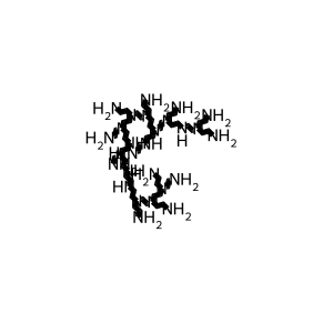 NCCNCCN(CCN(CCN)CCNCCN(CCN)CCN)CCN(CCN)CCN(CCN)CCN(CCN)CCNCCN(CN)CCNCCNCCN(CCN)CCN(CCN)CCN(CCN)CCN